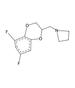 Fc1cc(F)c2c(c1)OC(CN1CCC1)CO2